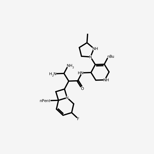 CCCCCC12C=CC(F)CN1C(C(C(=O)NC1CNCC(CCCC)=C1N1CCC(C)N1)C(N)N)C2